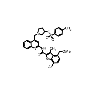 COCc1ccc(C(C)=O)c2sc(C(=O)Nc3cc(CN4CCC(OS(=O)(=O)c5ccc(C)cc5)C4)c4ccccc4n3)c(C)c12